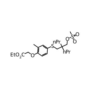 CCCC(CCC)(COS(C)(=O)=O)CSc1ccc(OCC(=O)OCC)c(C)c1